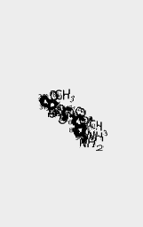 CCOC(=O)C(Cc1ccc(C(=N)N)cc1)N1CCCC(NS(=O)(=O)c2cc(OC)c3ccccc3c2)C1=O